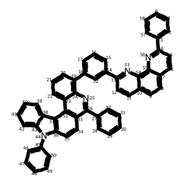 c1ccc(-c2ccc3ccc4ccc(-c5cccc(-c6cccc7c6nc(-c6ccccc6)c6ccc8c(c9ccccc9n8-c8ccccc8)c67)c5)nc4c3n2)cc1